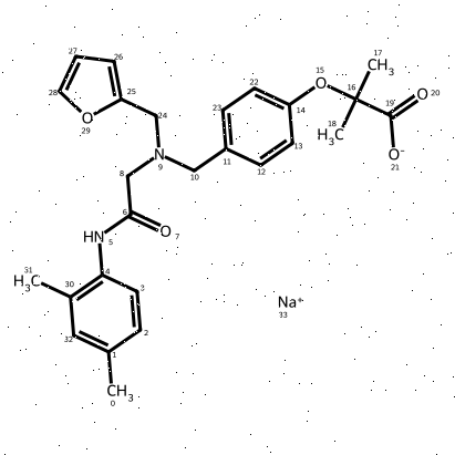 Cc1ccc(NC(=O)CN(Cc2ccc(OC(C)(C)C(=O)[O-])cc2)Cc2ccco2)c(C)c1.[Na+]